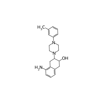 Cc1cccc(N2CCN(C3Cc4c(N)cccc4CC3O)CC2)c1